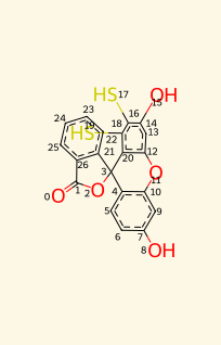 O=C1OC2(c3ccc(O)cc3Oc3cc(O)c(S)c(S)c32)c2ccccc21